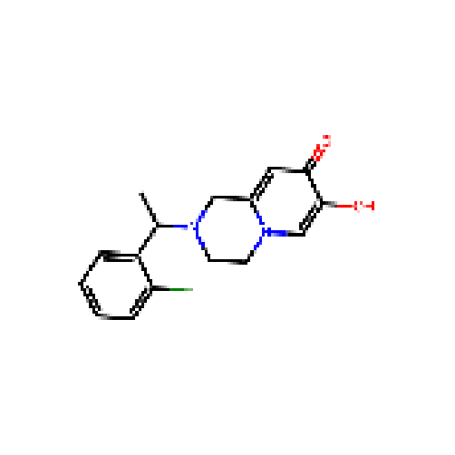 CC(c1ccccc1F)N1CCn2cc(O)c(=O)cc2C1